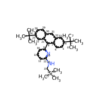 CC(C)(C)c1ccc2c(-c3cccc(NC[Si](C)(C)C)n3)c3cc(C(C)(C)C)ccc3cc2c1